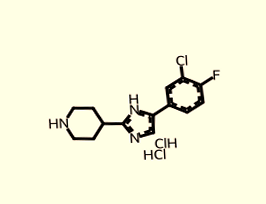 Cl.Cl.Fc1ccc(-c2cnc(C3CCNCC3)[nH]2)cc1Cl